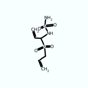 C=CCS(=O)(=O)C(C=C)NS(N)(=O)=O